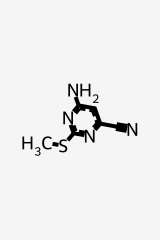 CSc1nc(N)cc(C#N)n1